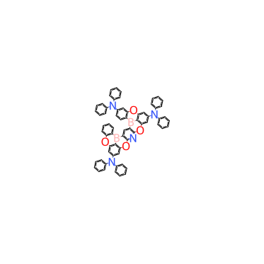 c1ccc(N(c2ccccc2)c2ccc3c(c2)Oc2cc(N(c4ccccc4)c4ccccc4)cc4c2B3c2cc3c(nc2O4)Oc2cc(N(c4ccccc4)c4ccccc4)cc4c2B3c2ccccc2O4)cc1